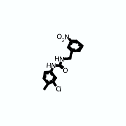 Cc1ccc(NC(=O)NCc2cccc([N+](=O)[O-])c2)cc1Cl